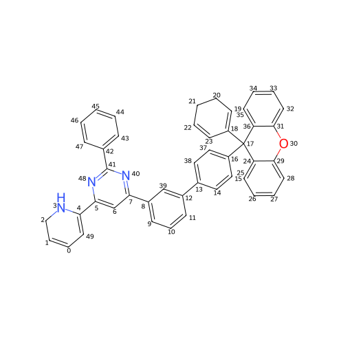 C1=CCNC(c2cc(-c3cccc(-c4ccc(C5(C6=CCCC=C6)c6ccccc6Oc6ccccc65)cc4)c3)nc(-c3ccccc3)n2)=C1